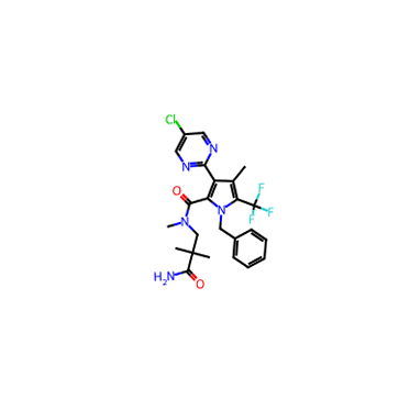 Cc1c(-c2ncc(Cl)cn2)c(C(=O)N(C)CC(C)(C)C(N)=O)n(Cc2ccccc2)c1C(F)(F)F